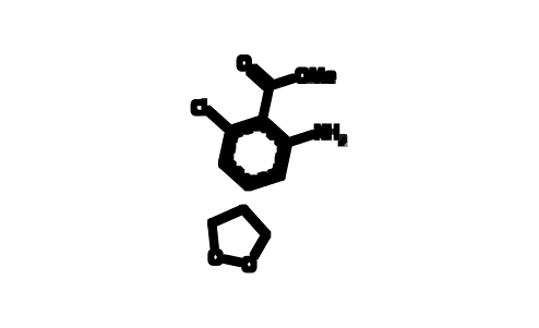 C1COOC1.COC(=O)c1c(N)cccc1Cl